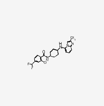 O=C(NC1CCC(Nc2cccc3nc(C(F)(F)F)cn23)CC1)c1ccc(C(F)F)cc1Cl